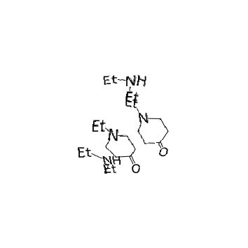 CCN1CCC(=O)CC1.CCN1CCC(=O)CC1.CCNCC.CCNCC